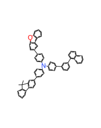 CC1(C)c2ccccc2-c2ccc(-c3ccc(N(c4ccc(-c5cccc(-c6cccc7ccccc67)c5)cc4)c4ccc(-c5ccc6oc7ccccc7c6c5)cc4)cc3)cc21